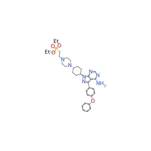 CCOP(=O)(CCN1CCN([C@H]2CC[C@H](n3nc(-c4ccc(Oc5ccccc5)cc4)c4c(N)ncnc43)CC2)CC1)OCC